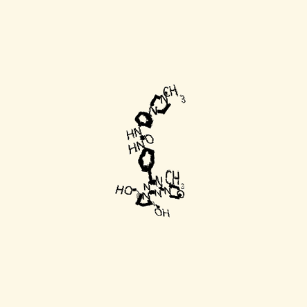 C[C@@H]1COCCN1c1nc(-c2ccc(NC(=O)Nc3ccc(N4CCN(C)CC4)cc3)cc2)nc(N2[C@H](CO)CC[C@@H]2CO)n1